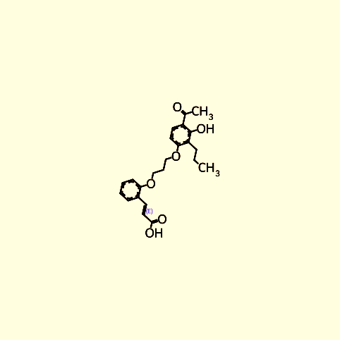 CCCc1c(OCCCOc2ccccc2/C=C/C(=O)O)ccc(C(C)=O)c1O